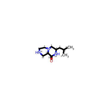 CC(C)CC1CN2CCNCC2C(=O)N1